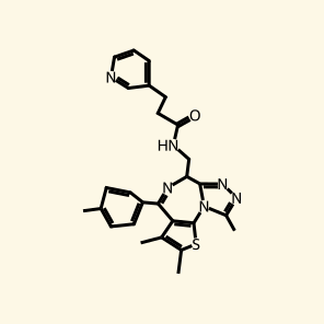 Cc1ccc(C2=NC(CNC(=O)CCc3cccnc3)c3nnc(C)n3-c3sc(C)c(C)c32)cc1